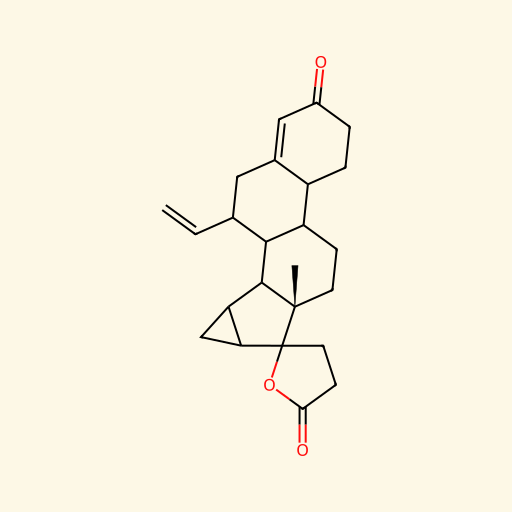 C=CC1CC2=CC(=O)CCC2C2CC[C@@]3(C)C(C4CC4C34CCC(=O)O4)C12